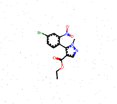 CCOC(=O)c1cnn(C)c1-c1ccc(Br)cc1[N+](=O)[O-]